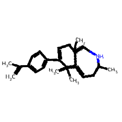 C=C(C)c1ccc(C2=CCC3(C)CNC(C)CC=C3C2(C)C)cc1